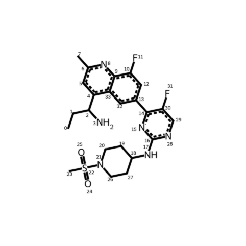 CCC(N)c1cc(C)nc2c(F)cc(-c3nc(NC4CCN(S(C)(=O)=O)CC4)ncc3F)cc12